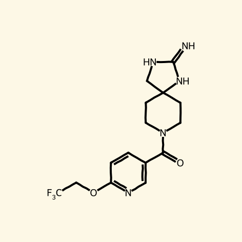 N=C1NCC2(CCN(C(=O)c3ccc(OCC(F)(F)F)nc3)CC2)N1